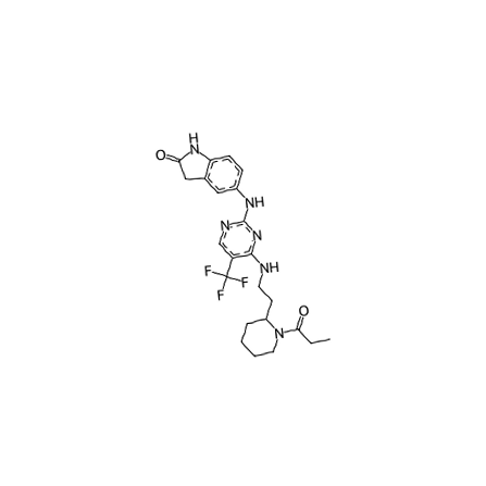 CCC(=O)N1CCCCC1CCNc1nc(Nc2ccc3c(c2)CC(=O)N3)ncc1C(F)(F)F